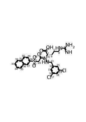 N=C(N)NCCC[C@@H](C(=O)O)N(NCc1cc(Cl)cc(Cl)c1)C(=O)CS(=O)(=O)c1ccc2ccccc2c1